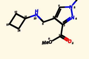 COC(=O)c1nn(C)cc1CNC1CCC1